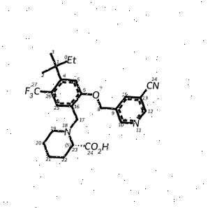 CCC(C)(C)c1cc(OCc2cncc(C#N)c2)c(CN2CCCC[C@H]2C(=O)O)cc1C(F)(F)F